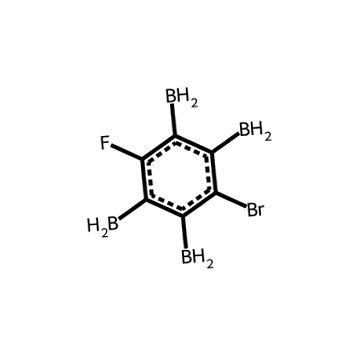 Bc1c(B)c(Br)c(B)c(B)c1F